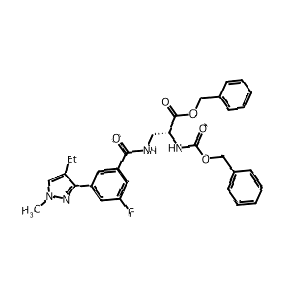 CCc1cn(C)nc1-c1cc(F)cc(C(=O)NC[C@@H](NC(=O)OCc2ccccc2)C(=O)OCc2ccccc2)c1